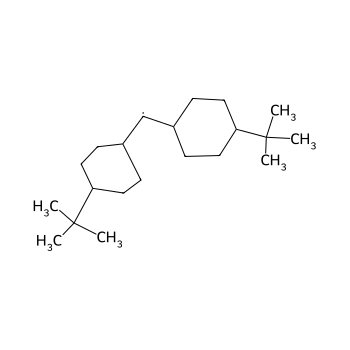 CC(C)(C)C1CCC([CH]C2CCC(C(C)(C)C)CC2)CC1